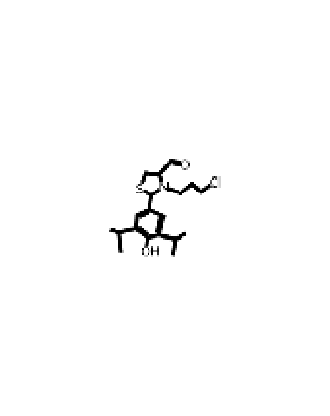 CC(C)c1cc(C2SCC(C=O)N2CCCCl)cc(C(C)C)c1O